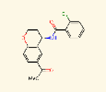 COC(=O)c1ccc2c(c1)[C@H](NC(=O)c1ccccc1Cl)CCO2